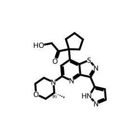 C[C@@H]1COCCN1c1cc(C2(C(=O)CO)CCCC2)c2snc(-c3ccn[nH]3)c2n1